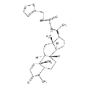 CC(NC(=O)NCc1cccs1)[C@H]1CC[C@H]2[C@@H]3CCC4N(C)C(=O)C=C[C@]4(C)[C@H]3CC[C@]12C